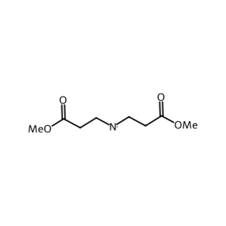 COC(=O)CC[N]CCC(=O)OC